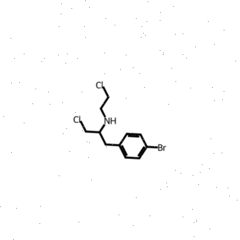 ClCCNC(CCl)Cc1ccc(Br)cc1